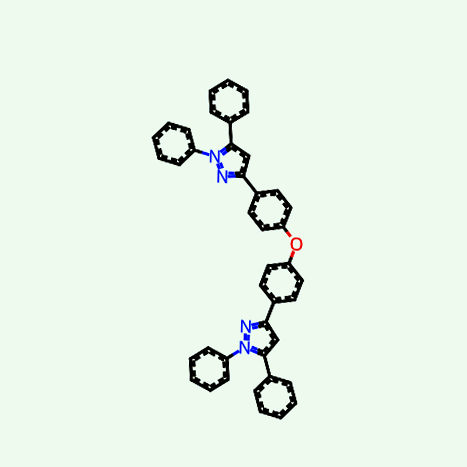 c1ccc(-c2cc(-c3ccc(Oc4ccc(-c5cc(-c6ccccc6)n(-c6ccccc6)n5)cc4)cc3)nn2-c2ccccc2)cc1